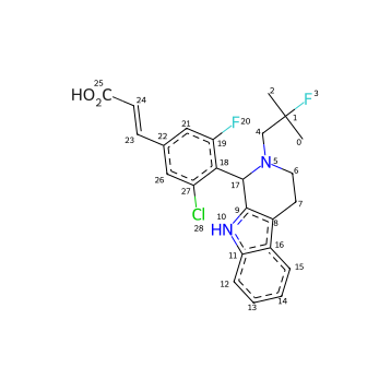 CC(C)(F)CN1CCc2c([nH]c3ccccc23)C1c1c(F)cc(/C=C/C(=O)O)cc1Cl